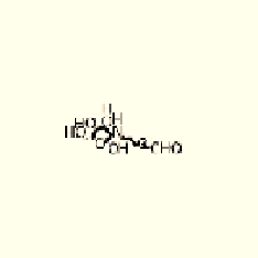 O=CCOCCCN[C@H]1C(O)O[C@H](CO)[C@@H](O)[C@@H]1O